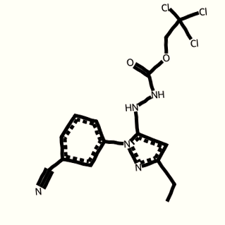 CCc1cc(NNC(=O)OCC(Cl)(Cl)Cl)n(-c2cccc(C#N)c2)n1